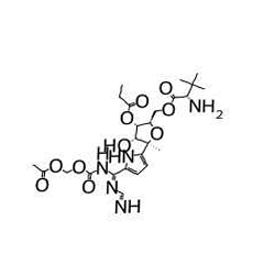 CCC(=O)O[C@H]1[C@@H](O)[C@](C)(c2ccc(/C(=N\C=N)NC(=O)OCOC(C)=O)[nH]2)O[C@@H]1COC(=O)[C@@H](N)C(C)(C)C